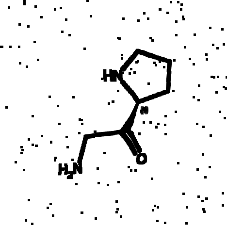 NCC(=O)[C@@H]1CCCN1